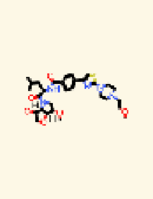 COCCN1CCN(c2nc(-c3ccc(C(=O)NC(CC(C)C)C(=O)N4C[C@H](OC)[C@H]5OCC(=O)[C@H]54)cc3)cs2)CC1